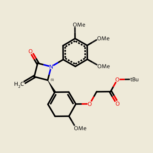 C=C1C(=O)N(c2cc(OC)c(OC)c(OC)c2)[C@H]1C1=CCC(OC)C(OCC(=O)OC(C)(C)C)=C1